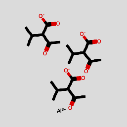 CC(=O)C(C(=O)[O-])C(C)C.CC(=O)C(C(=O)[O-])C(C)C.CC(=O)C(C(=O)[O-])C(C)C.[Al+3]